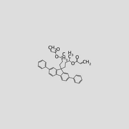 C=CC(=O)OC(C)CCC1(CCC(C)OC(=O)C=C)c2cc(-c3ccccc3)ccc2-c2ccc(-c3ccccc3)cc21